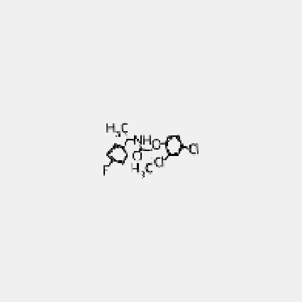 CC[C@@H](Oc1ccc(Cl)cc1Cl)C(=O)N[C@@H](C)c1ccc(F)cc1